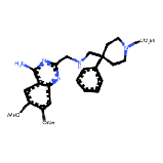 CCOC(=O)N1CCC(CNCc2nc(N)c3cc(OC)c(OC)cc3n2)(c2ccccc2)CC1